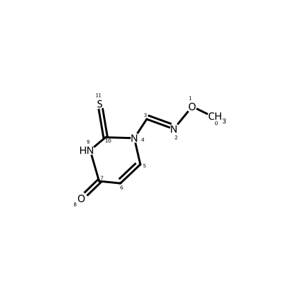 CON=Cn1ccc(=O)[nH]c1=S